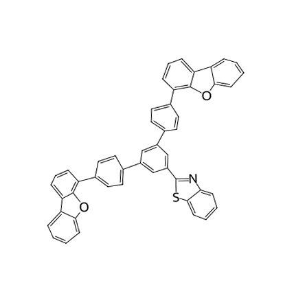 c1ccc2sc(-c3cc(-c4ccc(-c5cccc6c5oc5ccccc56)cc4)cc(-c4ccc(-c5cccc6c5oc5ccccc56)cc4)c3)nc2c1